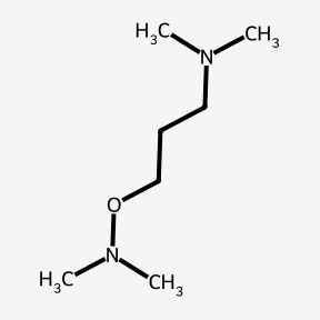 CN(C)CCCON(C)C